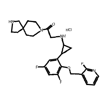 Cl.O=C(CNC1CC1c1cc(F)cc(F)c1OCc1cccnc1F)N1CCC2(CCNC2)CC1